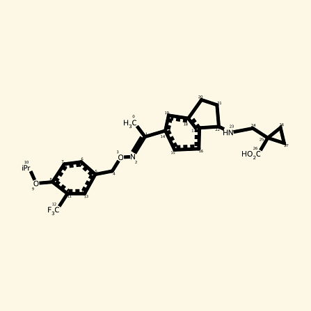 C/C(=N\OCc1ccc(OC(C)C)c(C(F)(F)F)c1)c1ccc2c(c1)CCC2NCC1(C(=O)O)CC1